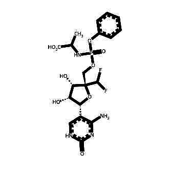 CC(NP(=O)(OC[C@@]1(C(F)F)O[C@H](c2c[nH]c(=O)nc2N)[C@H](O)[C@@H]1O)Oc1ccccc1)C(=O)O